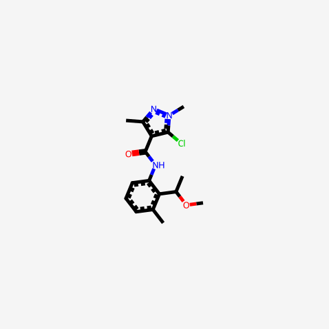 COC(C)c1c(C)cccc1NC(=O)c1c(C)nn(C)c1Cl